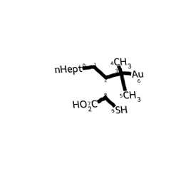 CCCCCCCCC[C](C)(C)[Au].O=C(O)CS